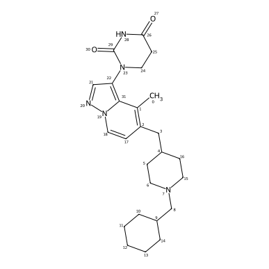 Cc1c(CC2CCN(CC3CCCCC3)CC2)ccn2ncc(N3CCC(=O)NC3=O)c12